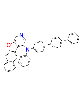 c1ccc(-c2ccc(-c3ccc(N(c4ccccc4)c4cncc5oc6cc7ccccc7cc6c45)cc3)cc2)cc1